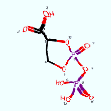 O=C(O)C1COP(=O)(OP(=O)(O)O)O1